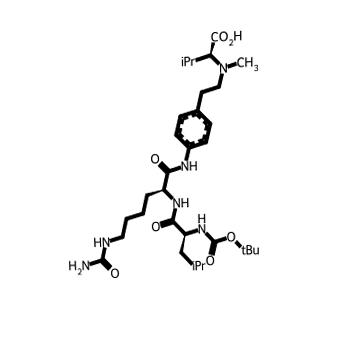 CC(C)C[C@H](NC(=O)OC(C)(C)C)C(=O)N[C@@H](CCCCNC(N)=O)C(=O)Nc1ccc(CCN(C)[C@H](C(=O)O)C(C)C)cc1